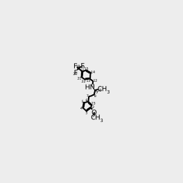 COc1cccc(CCC(C)NCc2ccc(C(F)(F)F)cc2)c1